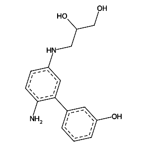 Nc1ccc(NCC(O)CO)cc1-c1cccc(O)c1